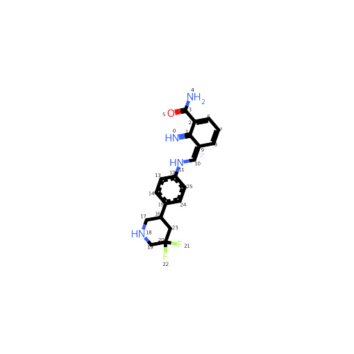 N=C1C(C(N)=O)=CC=C/C1=C/Nc1ccc(C2CNCC(F)(F)C2)cc1